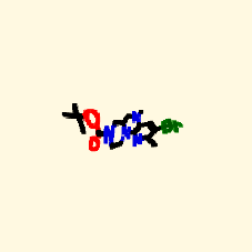 Cc1nc2c(cc1Br)N(C)CC1CN(C(=O)OC(C)(C)C)CCN21